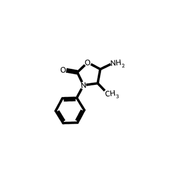 CC1C(N)OC(=O)N1c1ccccc1